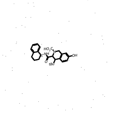 CC(C)(C)C1c2ccc(O)cc2CN(C(=O)O)C1C(=O)N[C@@H]1CCCc2ccccc21